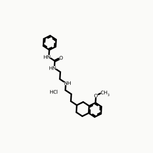 COc1cccc2c1CC(CCCNCCNC(=O)Nc1ccccc1)CC2.Cl